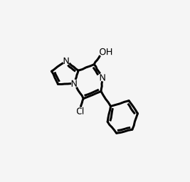 Oc1nc(-c2ccccc2)c(Cl)n2ccnc12